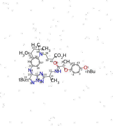 CCCCOc1ccc(OC(C)C(=O)NCC(C)c2nc3n(n2)N=C(C(C)(C)C)/C3=N/c2ccc3c(c2)C(C)CC(C)(C)N3CCCC(=O)O)cc1